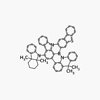 CC1(C)c2ccccc2N2B3c4cc5sc6ccccc6c5cc4-n4c5ccccc5c5c(N6c7ccccc7C7(C)CCCCC67C)cc(c3c54)-c3cccc1c32